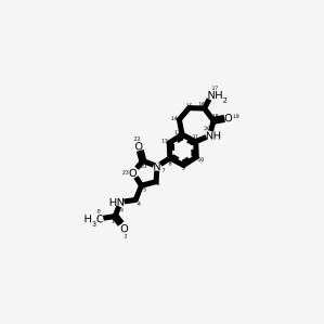 CC(=O)NCC1CN(c2ccc3c(c2)CCC(N)C(=O)N3)C(=O)O1